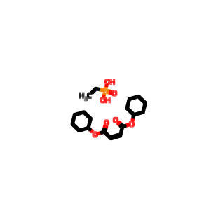 CCP(=O)(O)O.O=C(/C=C\C(=O)OC1CCCCC1)OC1CCCCC1